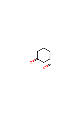 C=O.O=C1CCCCC1